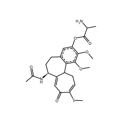 COc1c(OC(=O)C(C)N)cc2c(c1OC)C1CC=C(SC)C(=O)C=C1[C@@H](NC(C)=O)CC2